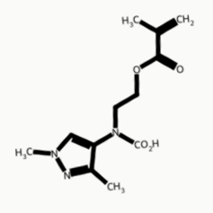 C=C(C)C(=O)OCCN(C(=O)O)c1cn(C)nc1C